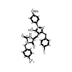 COc1ccc(-n2nc(Cc3ccc(F)cc3)c(/C=C3\NC(=O)N(Cc4ccc(C(F)(F)F)cc4)C3=O)c2O)cc1